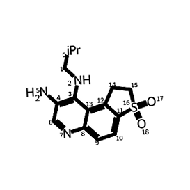 CC(C)CNc1c(N)cnc2ccc3c(c12)CCS3(=O)=O